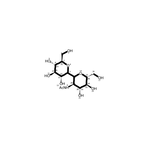 CC(=O)N[C@H]1C([C]2O[C@H](CO)[C@@H](O)[C@H](O)[C@H]2O)O[C@H](CO)[C@@H](O)[C@@H]1O